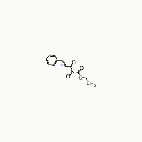 CCOC(=O)N(Cl)C(=O)/C=C/c1ccccc1